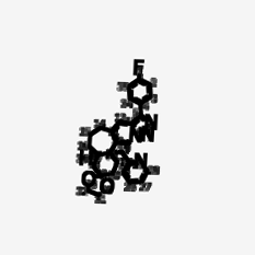 Fc1ccc(-c2nnn3cc4c(cc23)CCC[C@@H]2CC3(CC[C@@]42Cc2ccccn2)OCCO3)cc1